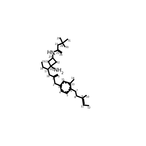 C=C(Cc1ccc(CC/C(C)=C/C)c(C)c1)CC(CC)C1(N)CC(NC(=C)CC(C)(C)C)C1